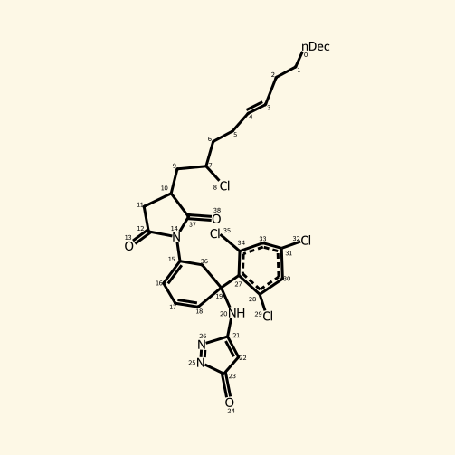 CCCCCCCCCCCCC=CCCC(Cl)CC1CC(=O)N(C2=CC=CC(NC3=CC(=O)N=N3)(c3c(Cl)cc(Cl)cc3Cl)C2)C1=O